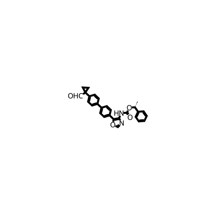 C[C@@H](OC(=O)Nc1ncoc1-c1ccc(-c2ccc(C3(C=O)CC3)cc2)cc1)c1ccccc1